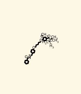 COc1cc(C(=O)N(C(C)C)C(C)C)ccc1OCCCCCOc1ccc(CN=NC(=O)c2ccccc2)cc1